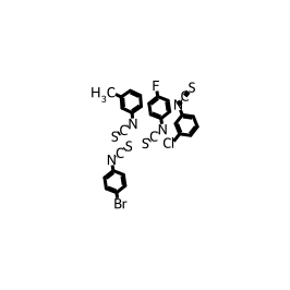 Cc1cccc(N=C=S)c1.Fc1ccc(N=C=S)cc1.S=C=Nc1ccc(Br)cc1.S=C=Nc1cccc(Cl)c1